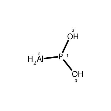 O[P](O)[AlH2]